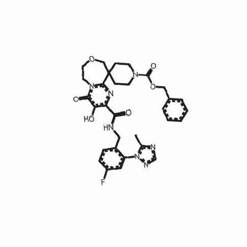 Cc1ncnn1-c1cc(F)ccc1CNC(=O)c1nc2n(c(=O)c1O)CCOCC21CCN(C(=O)OCc2ccccc2)CC1